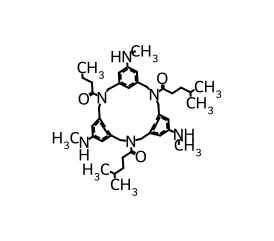 CCCC(=O)N1Cc2cc(cc(NC)c2)CN(C(=O)CCC(C)C)Cc2cc(cc(NC)c2)CN(C(=O)CCC(C)C)Cc2cc(cc(NC)c2)C1